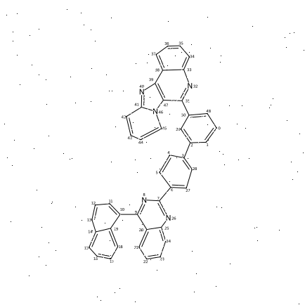 c1cc(-c2ccc(-c3nc(-c4cccc5ccccc45)c4ccccc4n3)cc2)cc(-c2nc3ccccc3c3nc4ccccn4c23)c1